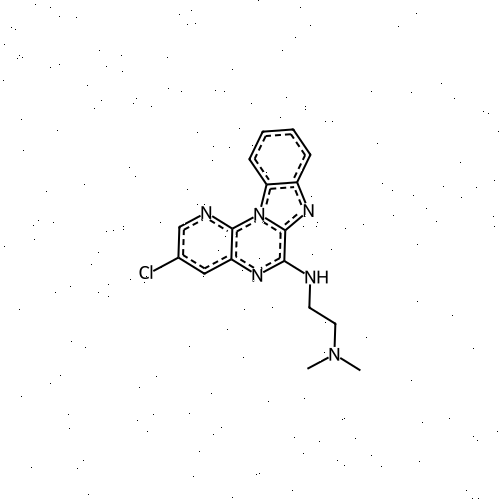 CN(C)CCNc1nc2cc(Cl)cnc2n2c1nc1ccccc12